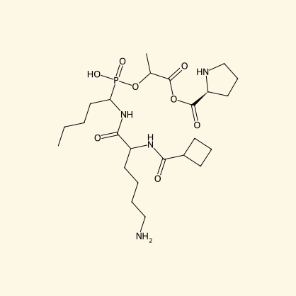 CCCCC(NC(=O)C(CCCCN)NC(=O)C1CCC1)P(=O)(O)OC(C)C(=O)OC(=O)[C@@H]1CCCN1